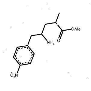 COC(=O)C(C)CC(N)Cc1ccc([N+](=O)[O-])cc1